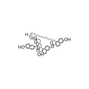 CCCCCCCCCCCCc1c(C(=O)Oc2ccc3c(C(CCCCC(=O)O)OC(=O)c4ccc5cc(O)ccc5c4)c(C(=O)O)ccc3c2)ccc2cc(O)ccc12